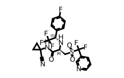 N#CC1(NC(=O)[C@H](CS(=O)(=O)C(F)(F)c2cccnc2)N[C@@H](c2ccc(F)cc2)C(F)(F)F)CC1